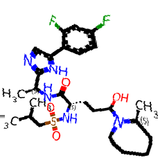 CC(C)CS(=O)(=O)N[C@@H](CCC(O)N1CCCC[C@@H]1C)C(=O)N[C@@H](C)c1ncc(-c2ccc(F)cc2F)[nH]1